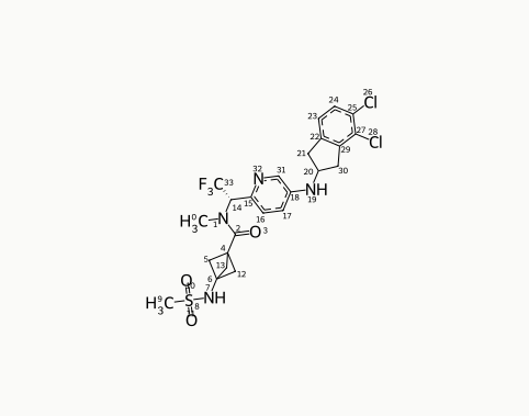 CN(C(=O)C12CC(NS(C)(=O)=O)(C1)C2)[C@@H](c1ccc(NC2Cc3ccc(Cl)c(Cl)c3C2)cn1)C(F)(F)F